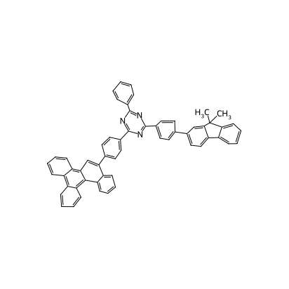 CC1(C)c2ccccc2-c2ccc(-c3ccc(-c4nc(-c5ccccc5)nc(-c5ccc(-c6cc7c8ccccc8c8ccccc8c7c7ccccc67)cc5)n4)cc3)cc21